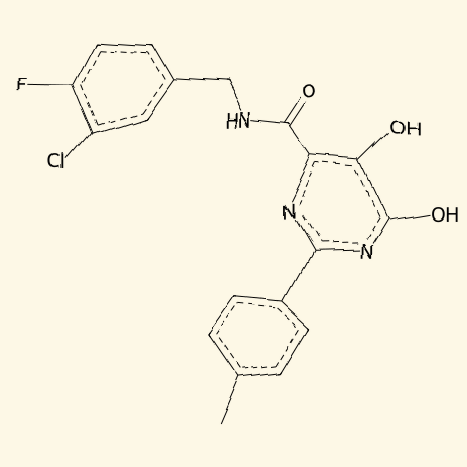 Cc1ccc(-c2nc(O)c(O)c(C(=O)NCc3ccc(F)c(Cl)c3)n2)cc1